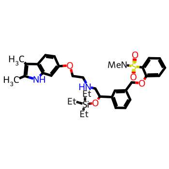 CC[Si](CC)(CC)OC(CNCCOc1ccc2c(C)c(C)[nH]c2c1)c1cccc(COc2ccccc2S(=O)(=O)NC)c1